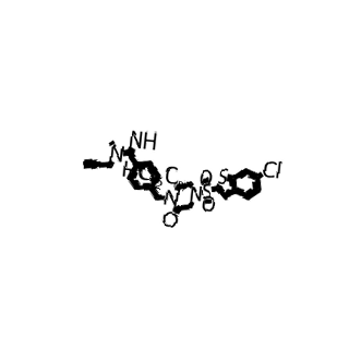 C#CCN(C)C(=N)c1ccc(CN2C(=O)CN(S(=O)(=O)c3cc4ccc(Cl)cc4s3)C[C@@H]2C(=O)O)cc1